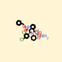 NS(=O)(=O)N[C@H]1CCCC[C@@H]1N1C(=O)c2ccccc2[C@@H](C(=O)NOCc2ccccc2)[C@@H]1c1ccc(Cl)cc1Cl